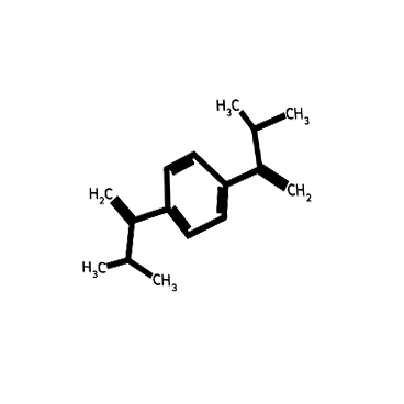 C=C(c1ccc(C(=C)C(C)C)cc1)C(C)C